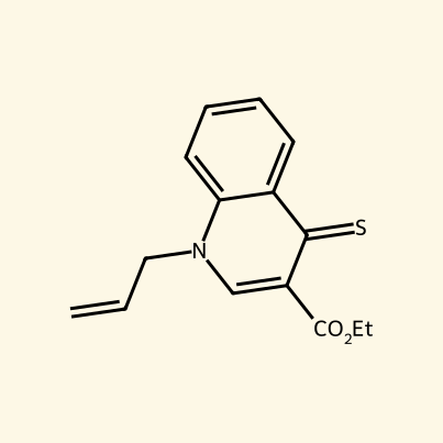 C=CCn1cc(C(=O)OCC)c(=S)c2ccccc21